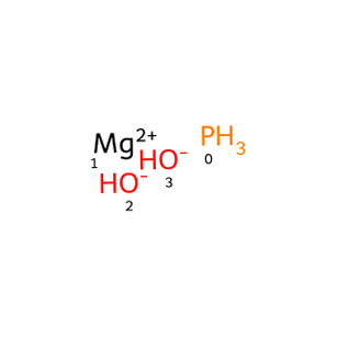 P.[Mg+2].[OH-].[OH-]